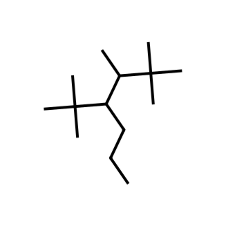 CCCC(C(C)C(C)(C)C)C(C)(C)C